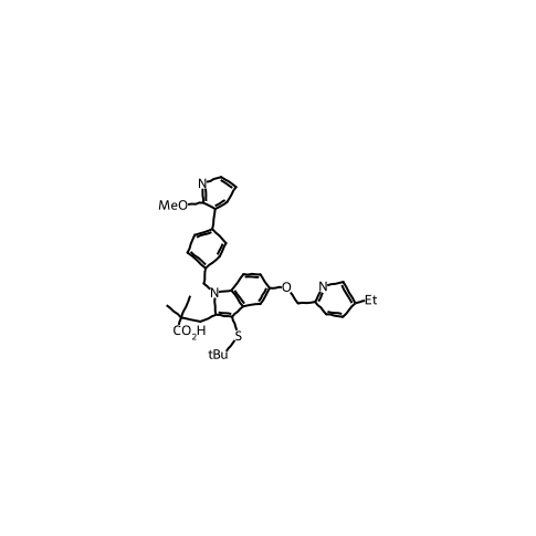 CCc1ccc(COc2ccc3c(c2)c(SC(C)(C)C)c(CC(C)(C)C(=O)O)n3Cc2ccc(-c3cccnc3OC)cc2)nc1